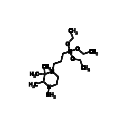 CCO[Si](CCCN1CCN([SiH3])C(C)C1(C)C)(OCC)OCC